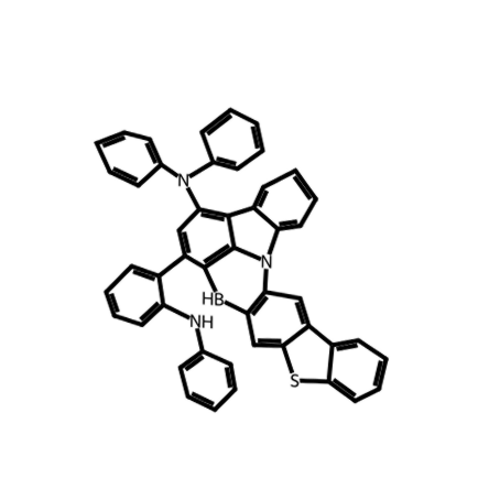 B1c2cc3sc4ccccc4c3cc2-n2c3ccccc3c3c(N(c4ccccc4)c4ccccc4)cc(-c4ccccc4Nc4ccccc4)c1c32